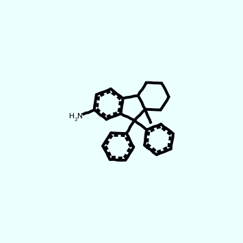 CC12CCCCC1c1ccc(N)cc1C2(c1ccccc1)c1ccccc1